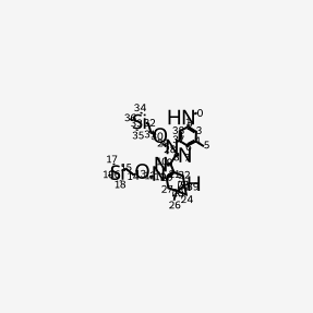 CNc1cc(C)c2nc(-c3nn(COCC[Si](C)(C)C)c4c3C[C@@H]3C[C@]3(C)C4)n(COCC[Si](C)(C)C)c2c1